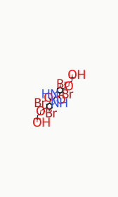 CC(C)(O)CCOC(C)(C)c1c(Br)cc2c(c1Br)C(=O)/C(=C1\Nc3cc(Br)c(C(C)(C)OCCC(C)(C)O)c(Br)c3C1=O)N2